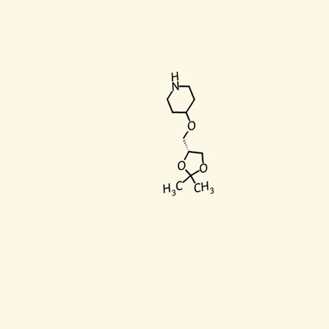 CC1(C)OC[C@@H](COC2CCNCC2)O1